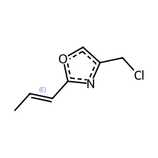 C/C=C/c1nc(CCl)co1